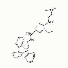 CCC(CC(C)C(=O)NCCS(c1ccccc1)(c1ccccc1)c1ccccc1)C(=O)NCCN(C)C